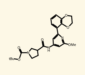 COc1cc(NC(=O)C2CCN(C(=O)OC(C)(C)C)C2)cc(-c2cccc3c2OCCO3)n1